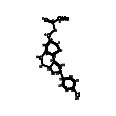 COC(=O)COc1ccc2c(c1)OCC1CN(c3ccc(Cl)cc3)N=C21